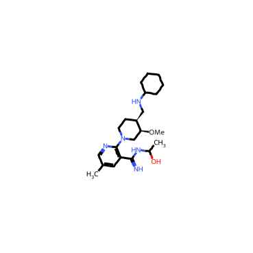 CO[C@H]1CN(c2ncc(C)cc2C(=N)NC(C)O)CC[C@H]1CNC1CCCCC1